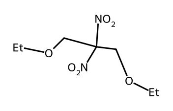 CCOCC(COCC)([N+](=O)[O-])[N+](=O)[O-]